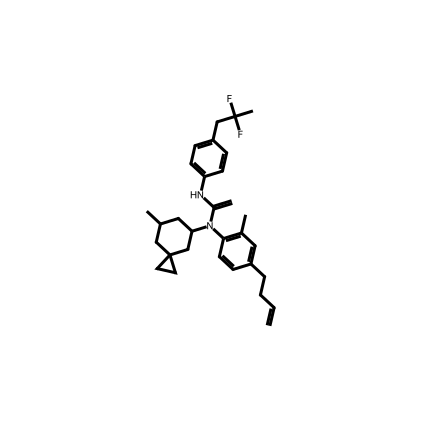 C=CCCc1ccc(N(C(=C)Nc2ccc(CC(C)(F)F)cc2)C2CC(C)CC3(CC3)C2)c(C)c1